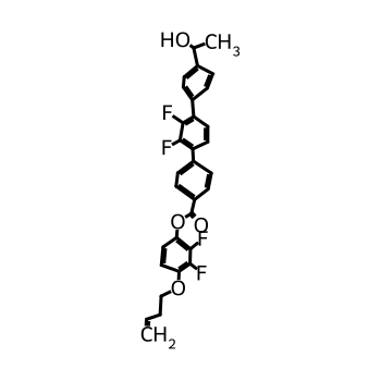 C=CCCOc1ccc(OC(=O)c2ccc(-c3ccc(-c4ccc(C(C)O)cc4)c(F)c3F)cc2)c(F)c1F